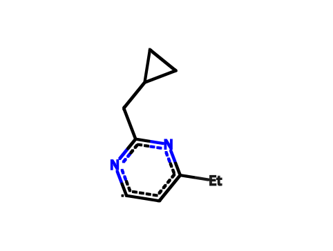 CCc1c[c]nc(CC2CC2)n1